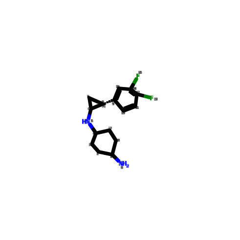 NC1CCC(NC2C[C@@H]2c2ccc(F)c(F)c2)CC1